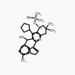 CC1(C)Cc2nc(C3=CCCC3)c(C(O)c3ccc(C(F)(F)F)cc3)c(C3CCCC3)c2[C@@H](O[Si](C)(C)C(C)(C)C)C1